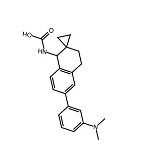 CN(C)c1cccc(-c2ccc3c(c2)CCC2(CC2)C3NC(=O)O)c1